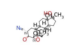 C[C@]1(O)CC[C@H]2[C@@H]3CC[C@@]45O[C@]4(C)C(=O)[C@H](C#N)C[C@]5(C)[C@H]3CC[C@@]21C